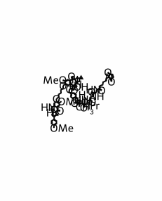 COc1ccc(C2=CN3C(=O)c4cc(OC)c(OCCCCCOc5cc6c(cc5OC)C(=O)N5CC7(CC7)C[C@H]5C(O)N6C(=O)OCc5ccc(NC(=O)[C@H](C)NC(=O)[C@@H](NC(=O)CNC(=O)CNC(=O)CCCCCN6C(=O)C=CC6=O)C(C)C)cc5)cc4NC[C@@H]3C2)cc1